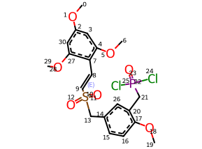 COc1cc(OC)c(/C=C/S(=O)(=O)Cc2ccc(OC)c(CP(=O)(Cl)Cl)c2)c(OC)c1